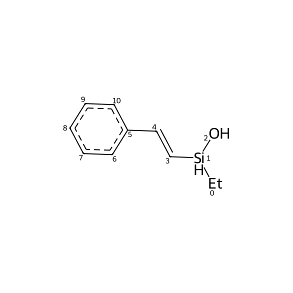 CC[SiH](O)/C=C/c1ccccc1